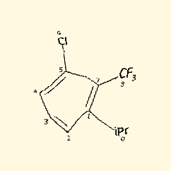 CC(C)c1cccc(Cl)c1C(F)(F)F